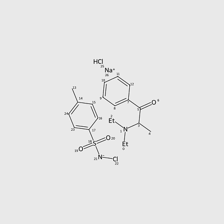 CCN(CC)C(C)C(=O)c1ccccc1.Cc1ccc(S(=O)(=O)[N-]Cl)cc1.Cl.[Na+]